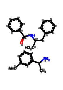 COc1cccc(C(C)N)c1.O=C(NC(Cc1ccccc1)C(=O)O)c1ccccc1